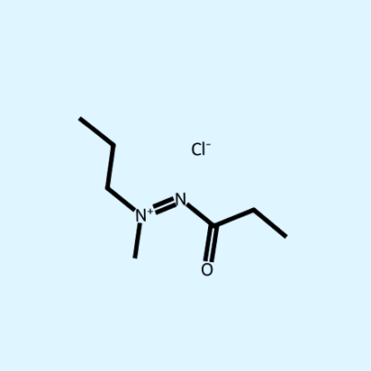 CCC[N+](C)=NC(=O)CC.[Cl-]